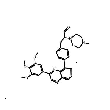 COc1cc(-c2cnc3cccc(-c4ccc(CC(C=O)N5CCN(C)CC5)cc4)c3n2)cc(OC)c1OC